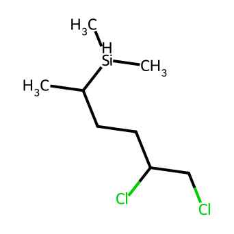 CC(CCC(Cl)CCl)[SiH](C)C